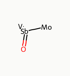 [O]=[Sb][Mo].[V]